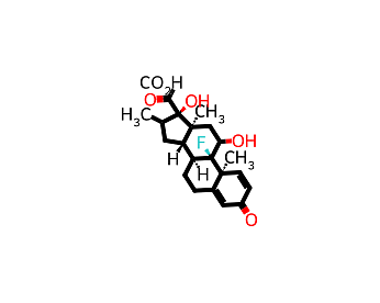 CC1C[C@H]2[C@@H]3CCC4=CC(=O)C=C[C@]4(C)[C@@]3(F)C(O)C[C@]2(C)[C@@]1(O)C(=O)C(=O)O